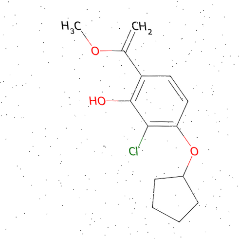 C=C(OC)c1ccc(OC2CCCC2)c(Cl)c1O